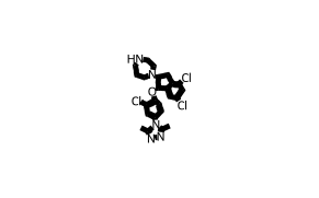 Cc1nnc(C)n1-c1ccc(O[C@H]2c3cc(Cl)cc(Cl)c3C[C@@H]2N2CCCNCC2)c(Cl)c1